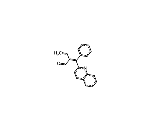 C=CC([C]=O)=C(c1ccccc1)c1ccc2ccccc2n1